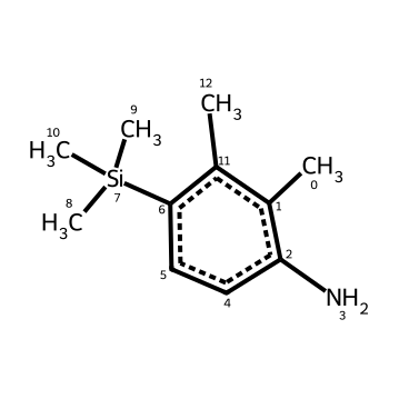 Cc1c(N)ccc([Si](C)(C)C)c1C